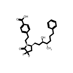 C[C@@H](CCCc1ccccc1)[C@H](O)CC[C@H]1CC(F)(F)C(=O)N1CCc1ccc(C(=O)O)cc1